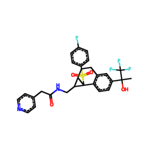 CC(O)(c1ccc2c(c1)CCC1C(CNC(=O)Cc3ccncc3)C21S(=O)(=O)c1ccc(F)cc1)C(F)(F)F